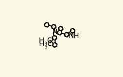 CC1(C)c2ccccc2-c2ccc(CN(c3cccc(-c4ccccc4)c3)c3ccc(-c4ccc5[nH]c6ccccc6c5c4)c4ccccc34)cc21